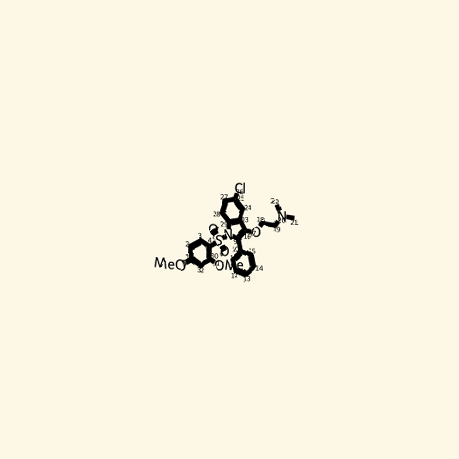 COc1ccc(S(=O)(=O)n2c(-c3ccccc3)c(OCCN(C)C)c3cc(Cl)ccc32)c(OC)c1